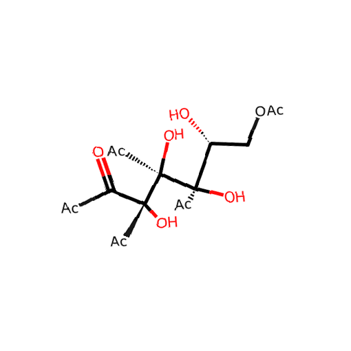 CC(=O)OC[C@@H](O)[C@](O)(C(C)=O)[C@@](O)(C(C)=O)[C@@](O)(C(C)=O)C(=O)C(C)=O